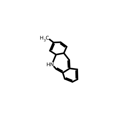 CC1=CC2NC=c3ccccc3=CC2C=C1